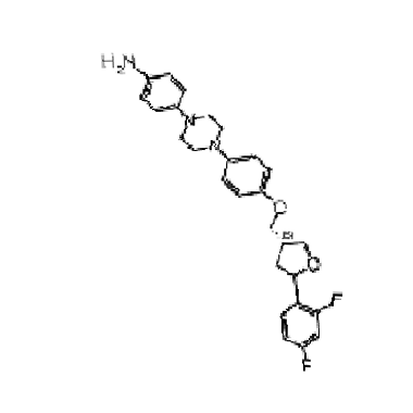 Nc1ccc(N2CCN(c3ccc(OC[C@@H]4COC(c5ccc(F)cc5F)C4)cc3)CC2)cc1